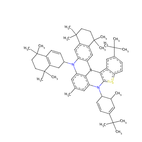 Cc1cc2c3c(c1)N(C1C=CC(C(C)(C)C)=CC1C)c1sc4ccc(C(C)(C)C)cc4c1B3c1cc3c(cc1N2C1C=CC2=C(C1)C(C)(C)CCC2(C)C)C(C)(C)CCC3(C)C